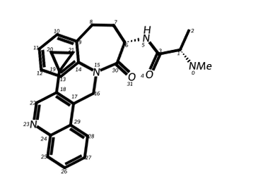 CN[C@@H](C)C(=O)N[C@H]1CCc2ccccc2N(Cc2c(C3CC3)cnc3ccccc23)C1=O